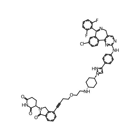 O=C1CCC(N2Cc3c(C#CCCOCCN[C@H]4CC[C@H](n5cc(-c6ccc(Nc7ncc8c(n7)-c7ccc(Cl)cc7C(c7c(F)cccc7F)=NC8)cc6)[nH]5)CC4)cccc3C2=O)C(=O)N1